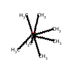 CCCCCCCCCCCCCCCCCC[N](CCCCCCCCCCCCCCCCCC)[Ti]([O]CCCCCC)([N](CCCCCCCCCCCCCCCCCC)CCCCCCCCCCCCCCCCCC)[N](CCCCCCCCCCCCCCCCCC)CCCCCCCCCCCCCCCCCC